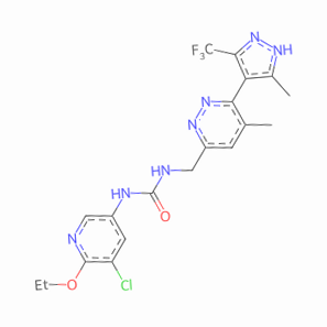 CCOc1ncc(NC(=O)NCc2cc(C)c(-c3c(C(F)(F)F)n[nH]c3C)nn2)cc1Cl